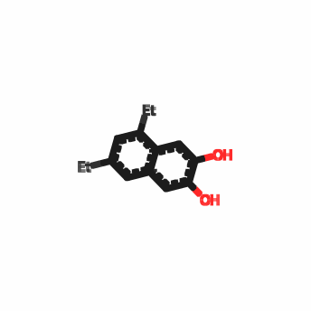 CCc1cc(CC)c2cc(O)c(O)cc2c1